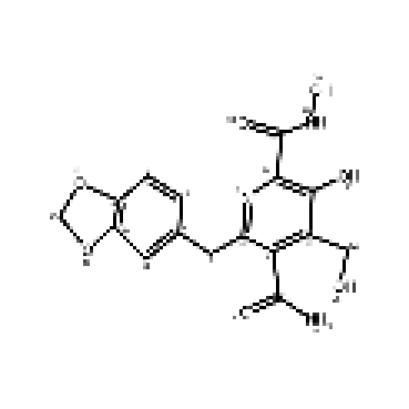 NC(=O)c1c(Cc2ccc3c(c2)OCO3)nc(C(=O)NO)c(O)c1CO